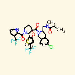 CCC[C@H]1N(C(=O)c2ncccc2C(F)(F)F)CCC[C@@]1(Oc1csc(C(F)(F)F)c1)C(=O)N1Cc2ccc(Cl)cc2C[C@@H]1CN(C)C(=O)CC